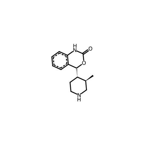 C[C@H]1CNCC[C@@H]1C1OC(=O)Nc2ccccc21